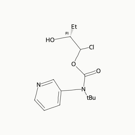 CC[C@@H](O)C(Cl)OC(=O)N(c1cccnc1)C(C)(C)C